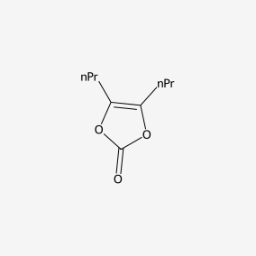 CCCc1oc(=O)oc1CCC